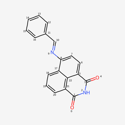 O=C1NC(=O)c2ccc(N=Cc3ccccc3)c3cccc1c23